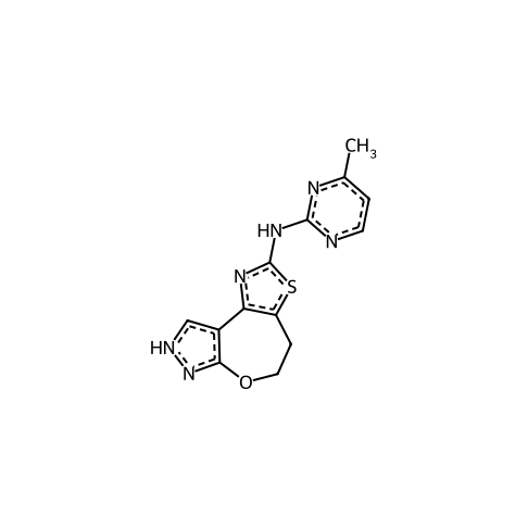 Cc1ccnc(Nc2nc3c(s2)CCOc2n[nH]cc2-3)n1